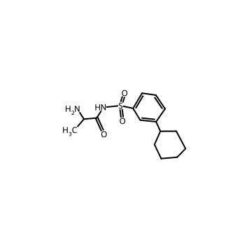 CC(N)C(=O)NS(=O)(=O)c1cccc(C2CCCCC2)c1